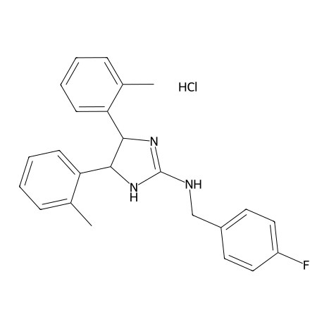 Cc1ccccc1C1N=C(NCc2ccc(F)cc2)NC1c1ccccc1C.Cl